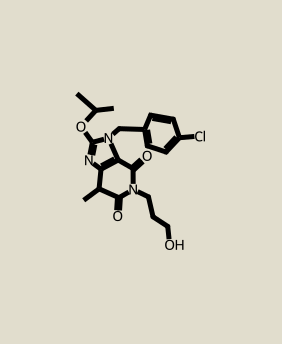 CC(C)Oc1nc2c(n1Cc1ccc(Cl)cc1)C(=O)N(CCCO)C(=O)C2C